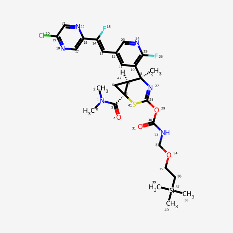 CN(C)C(=O)[C@]12C[C@H]1[C@@](C)(c1cc(/C=C(\F)c3cnc(Cl)cn3)cnc1F)N=C(OC(=O)NCOCC[Si](C)(C)C)S2